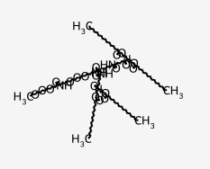 CCCCCCCCCCCCCCCC(=O)OCCN(CCOC(=O)CCCCCCCCCCCCCCC)C(=O)CCCC(=O)NCCCC[C@H](NC(=O)CCCC(=O)N(CCOC(=O)CCCCCCCCCCCCCCC)CCOC(=O)CCCCCCCCCCCCCCC)C(=O)NCCCOCCOCCOCCCNC(=O)CCOCCOCCOCC